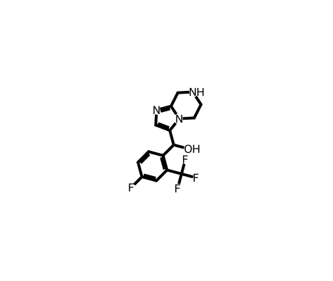 OC(c1ccc(F)cc1C(F)(F)F)c1cnc2n1CCNC2